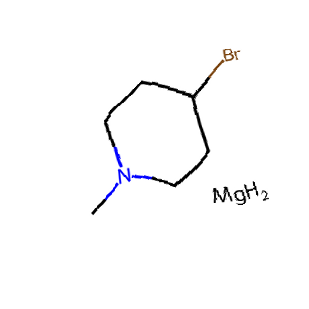 CN1CCC(Br)CC1.[MgH2]